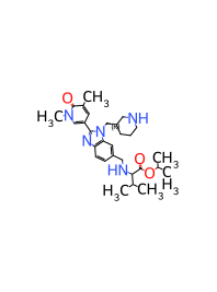 Cc1cc(-c2nc3ccc(CNC(C(=O)OC(C)C)C(C)C)cc3n2C[C@@H]2CCCNC2)cn(C)c1=O